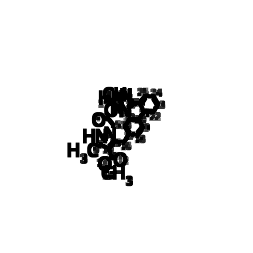 CCOC(=O)CN1NC(C)C(C(=O)OC)=C1Cc1ccc(-c2ccccc2-c2nn[nH]n2)cc1